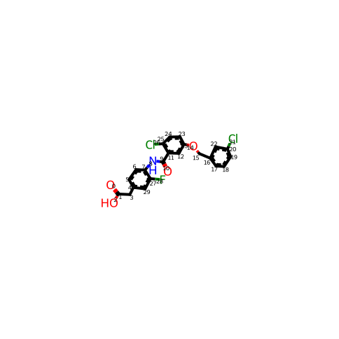 O=C(O)Cc1ccc(NC(=O)c2cc(OCc3cccc(Cl)c3)ccc2Cl)c(F)c1